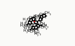 Cc1ccc2c(c1)C(C)(C)c1cc(-c3ccc(N(c4cc(C(C)(C)C)cc5c4-c4ccc(C)cc4C5(C)C)c4cc(C(C)(C)C)cc5c4-c4ccc(C(C)(C)C)cc4C5(C)C)cc3)ccc1-2